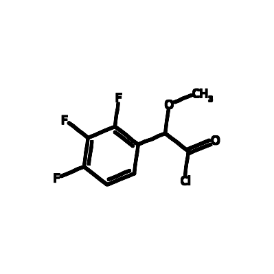 COC(C(=O)Cl)c1ccc(F)c(F)c1F